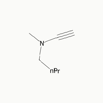 C#CN(C)CCCC